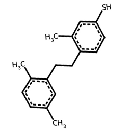 Cc1ccc(C)c(CCc2ccc(S)cc2C)c1